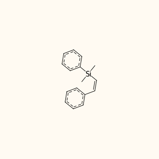 C[Si](C)(/C=C\c1ccccc1)c1ccccc1